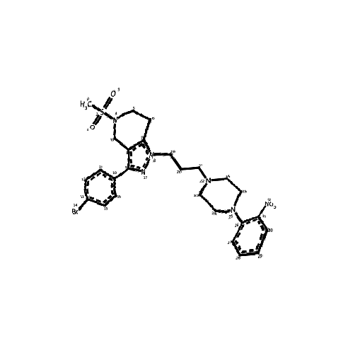 CS(=O)(=O)N1CCc2c(c(-c3ccc(Br)cc3)nn2CCCN2CCN(c3ccccc3[N+](=O)[O-])CC2)C1